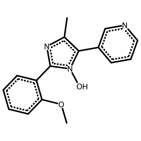 COc1ccccc1-c1nc(C)c(-c2cccnc2)n1O